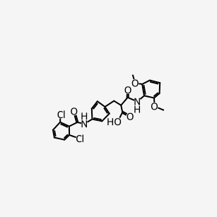 COc1cccc(OC)c1NC(=O)C(Cc1ccc(NC(=O)c2c(Cl)cccc2Cl)cc1)C(=O)O